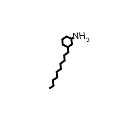 CCCCCCCCCCC1CCCC(N)C1